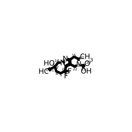 C#CC1(O)CCC(F)(F)c2c3c(nn2C1)C[C@@H](C)N(C(=O)O)C3